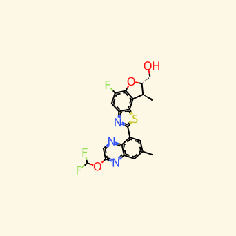 Cc1cc(-c2nc3cc(F)c4c(c3s2)[C@H](C)[C@@H](CO)O4)c2ncc(OC(F)F)nc2c1